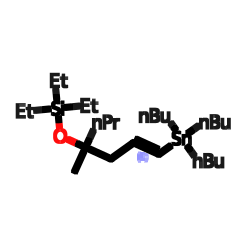 CCC[CH2][Sn](/[CH]=C/CC(C)(CCC)O[Si](CC)(CC)CC)([CH2]CCC)[CH2]CCC